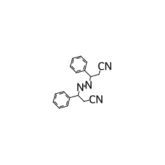 N#CCC(N=NC(CC#N)c1ccccc1)c1ccccc1